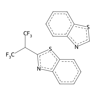 FC(F)(F)C(c1nc2ccccc2s1)C(F)(F)F.c1ccc2scnc2c1